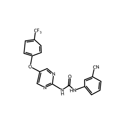 N#Cc1cccc(NC(=O)Nc2ncc(Oc3ccc(C(F)(F)F)cc3)cn2)c1